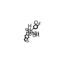 O=C(NO)C(NS(=O)(=O)Cc1ccc2sccc2c1)c1ccc(F)c(Cl)c1